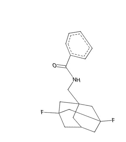 O=C(NCC12CC3CC(F)(CC(F)(C3)C1)C2)c1ccccc1